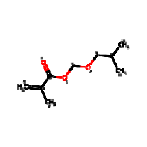 C=C(C)C(=O)OCOCC(C)C